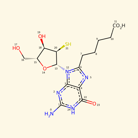 Nc1nc2c(nc(CCCCC(=O)O)n2[C@@H]2O[C@H](CO)[C@@H](O)[C@H]2S)c(=O)[nH]1